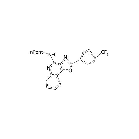 CCCCCNc1nc2ccccc2c2oc(-c3ccc(C(F)(F)F)cc3)nc12